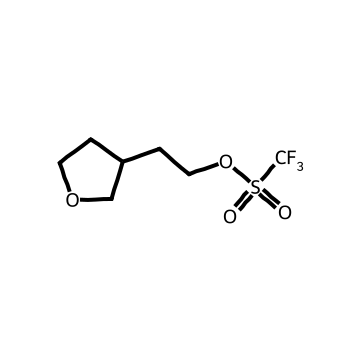 O=S(=O)(OCCC1CCOC1)C(F)(F)F